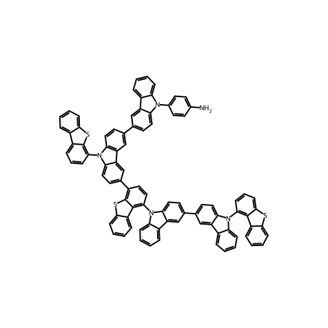 Nc1ccc(-n2c3ccccc3c3cc(-c4ccc5c(c4)c4cc(-c6ccc(-n7c8ccccc8c8cc(-c9ccc%10c(c9)c9ccccc9n%10-c9cccc%10sc%11ccccc%11c9%10)ccc87)c7c6sc6ccccc67)ccc4n5-c4cccc5c4sc4ccccc45)ccc32)cc1